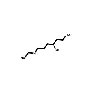 [CH2]SCC[C@@H](O)CCCNCC(C)(C)C